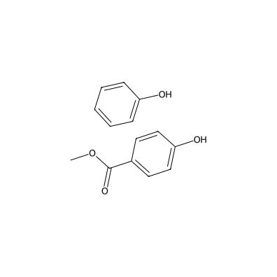 COC(=O)c1ccc(O)cc1.Oc1ccccc1